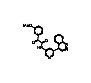 COc1cccc(C(=O)C(=O)Nc2cncc(-c3cnnc4ccccc34)c2)c1